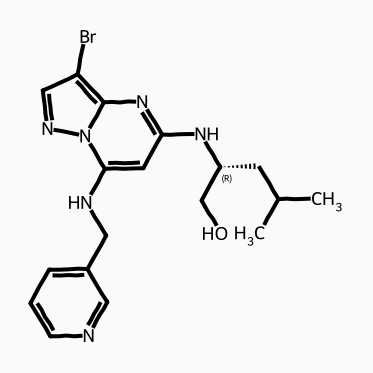 CC(C)C[C@H](CO)Nc1cc(NCc2cccnc2)n2ncc(Br)c2n1